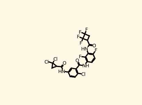 O=C(Nc1ccc(F)c(NC(=O)C2CC(F)(F)C2(F)F)c1F)c1cc(NC(=O)C2CC2(Cl)Cl)ccc1Cl